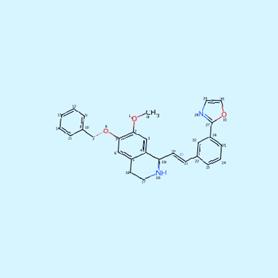 COc1cc2c(cc1OCc1ccccc1)CCNC2/C=C/c1cccc(-c2ncco2)c1